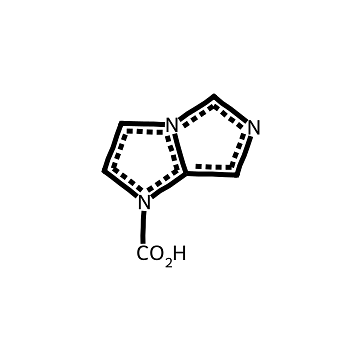 O=C(O)n1ccn2cncc12